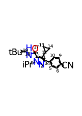 CC(C)n1nc(-c2ccc(C#N)cc2)c(C2CC2)c1C(=O)NCC(C)(C)C